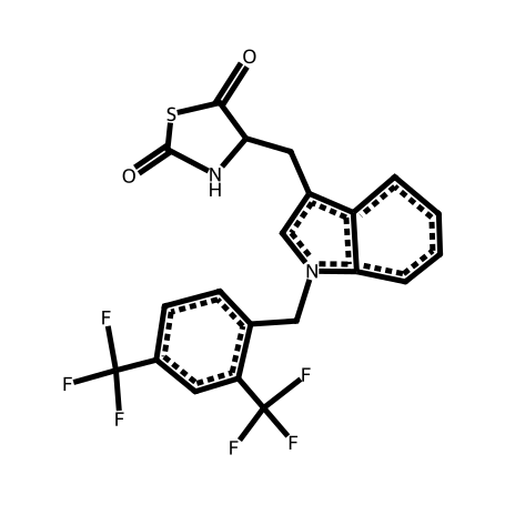 O=C1NC(Cc2cn(Cc3ccc(C(F)(F)F)cc3C(F)(F)F)c3ccccc23)C(=O)S1